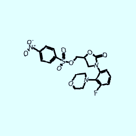 O=C1OC(COS(=O)(=O)c2ccc([N+](=O)[O-])cc2)CN1c1cccc(F)c1N1CCOCC1